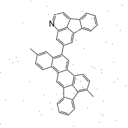 Cc1ccc2c(c1)c(-c1cc3c4c(ccnc4c1)-c1ccccc1-3)cc1c3ccc(C)c4c3c(cc21)-c1ccccc1-4